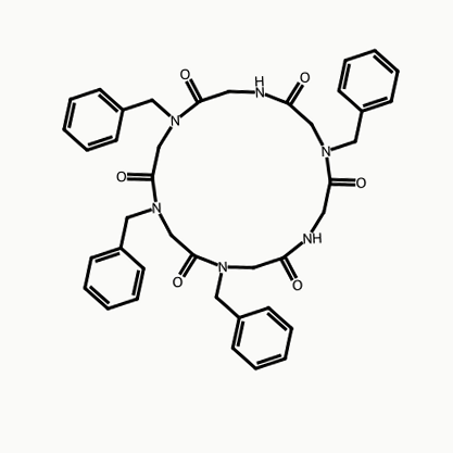 O=C1CN(Cc2ccccc2)C(=O)CN(Cc2ccccc2)C(=O)CN(Cc2ccccc2)C(=O)CNC(=O)CN(Cc2ccccc2)C(=O)CN1